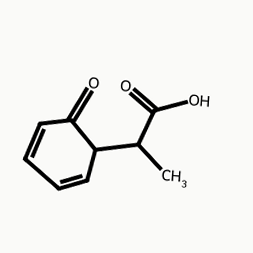 CC(C(=O)O)C1C=CC=CC1=O